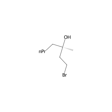 CCCC[C@@](C)(O)CCBr